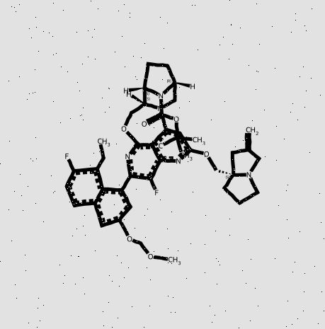 C=C1CN2CCC[C@@]2(COc2cc3c4c(nc(-c5cc(OCOC)cc6ccc(F)c(CC)c56)c(F)c4n2)OC[C@@H]2[C@@H]4CC[C@H](CN32)N4C(=O)OC(C)(C)C)C1